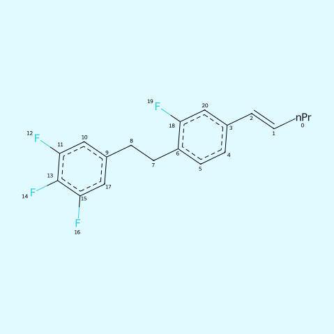 CCCC=Cc1ccc(CCc2cc(F)c(F)c(F)c2)c(F)c1